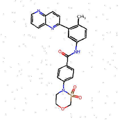 Cc1ccc(NC(=O)c2ccc(N3CCOCS3(=O)=O)cc2)cc1-c1ccc2ncccc2n1